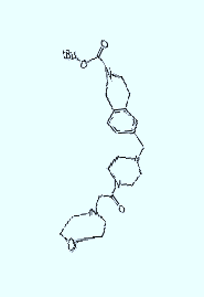 CC(C)(C)OC(=O)N1CCc2cc(CN3CCN(C(=O)CN4CCOCC4)CC3)ccc2C1